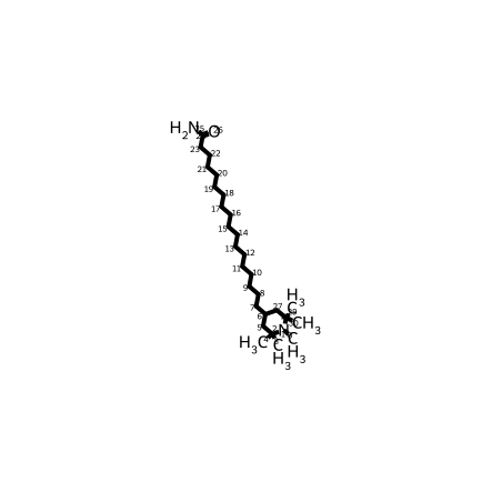 CN1C(C)(C)CC(CCCCCCCCCCCCCCCCCC(N)=O)CC1(C)C